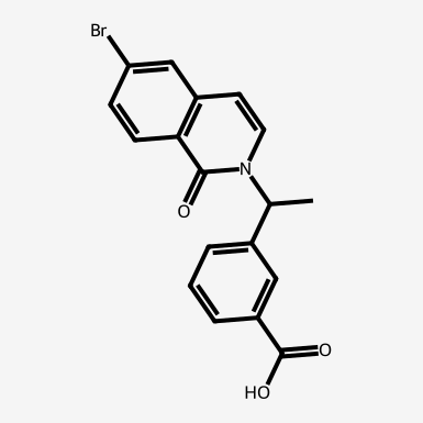 CC(c1cccc(C(=O)O)c1)n1ccc2cc(Br)ccc2c1=O